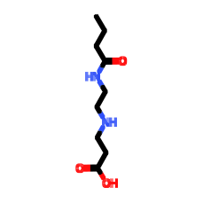 CCCC(=O)NCCNCCC(=O)O